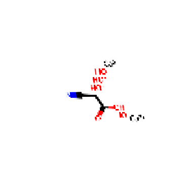 N#CCC(=O)O.[Ca+2].[Ca+2].[OH-].[OH-].[OH-].[OH-]